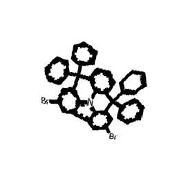 Brc1cc2c3c(c1)c1cc(Br)cc4c1n3-c1c(cccc1C4(c1ccccc1)c1ccccc1)C2(C1=CC=CCC1)c1ccccc1